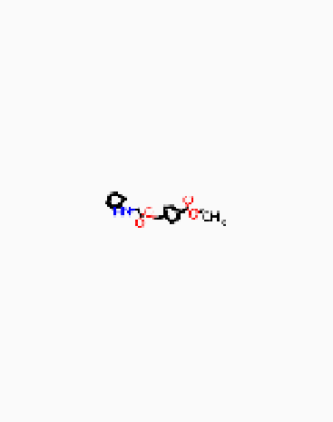 CCOC(=O)c1ccc(COC(=O)CNc2ccccc2)cc1